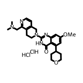 COc1cc(C2CCOCC2)c2c(=O)[nH]c(N3CCc4c(ccnc4CN(C)C)C3)nc2c1.Cl.Cl